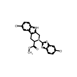 COC(=O)C1Cc2c([nH]c3ccc(Cl)cc23)CN1c1nc2ccc(Cl)cc2s1